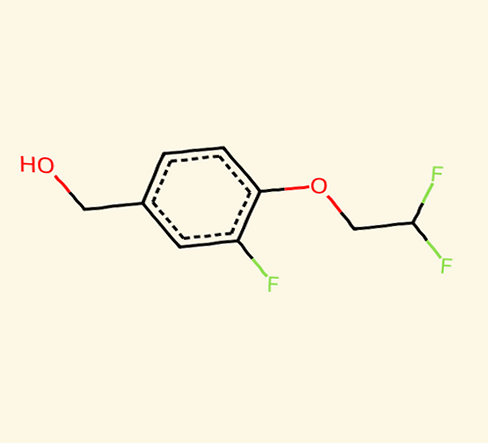 OCc1ccc(OCC(F)F)c(F)c1